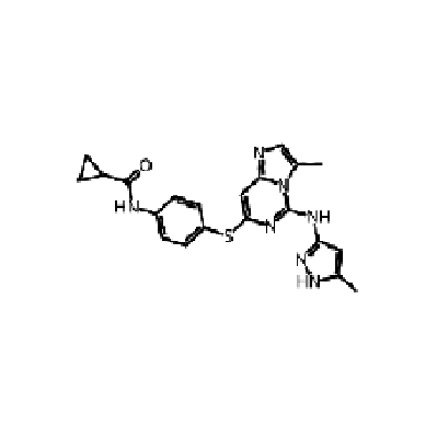 Cc1cc(Nc2nc(Sc3ccc(NC(=O)C4CC4)cc3)cc3ncc(C)n23)n[nH]1